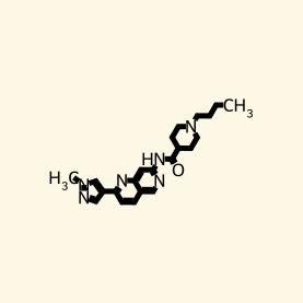 CCCCN1CCC(C(=O)Nc2cc3nc(-c4cnn(C)c4)ccc3cn2)CC1